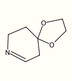 C1=NCCC2(C1)OCCO2